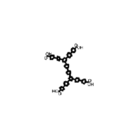 O=C(O)c1ccc(-c2ccc(-c3cc(-c4ccc(-c5ccc(C(=O)O)cc5)cc4)cc(-c4ccc(-c5ccc(-c6cc(-c7ccc(-c8ccc(C(=O)O)cc8)cc7)cc(-c7ccc(-c8ccc(C(=O)O)cc8)cc7)c6)cc5)cc4)c3)cc2)cc1